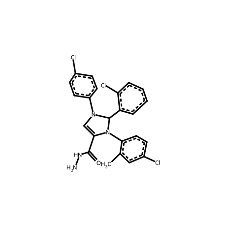 Cc1cc(Cl)ccc1N1C(C(=O)NN)=CN(c2ccc(Cl)cc2)C1c1ccccc1Cl